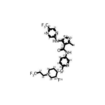 Cc1nsc(Nc2cnc(C(F)(F)F)cn2)c1C(=O)Nc1ccc(O[C@H]2CCN(CCC(F)(F)F)C[C@H]2F)nc1